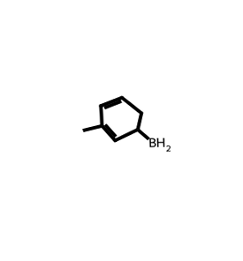 BC1C=C(C)C=CC1